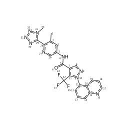 Cc1cc(NC(=O)c2cnn(-c3cccc4ncccc34)c2C(F)(F)F)cnc1-c1nnnn1C